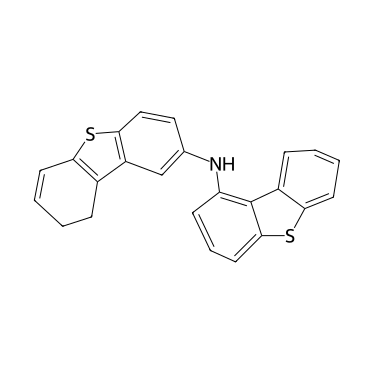 C1=Cc2sc3ccc(Nc4cccc5sc6ccccc6c45)cc3c2CC1